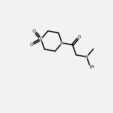 CC(C)N(C)CC(=O)N1CCS(=O)(=O)CC1